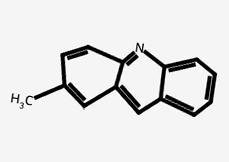 Cc1[c]c2cc3ccccc3nc2cc1